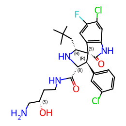 CC(C)(C)C[C@H]1N[C@@H](C(=O)NCC[C@H](O)CN)[C@H](c2cccc(Cl)c2)[C@@]12C(=O)Nc1cc(Cl)c(F)cc12